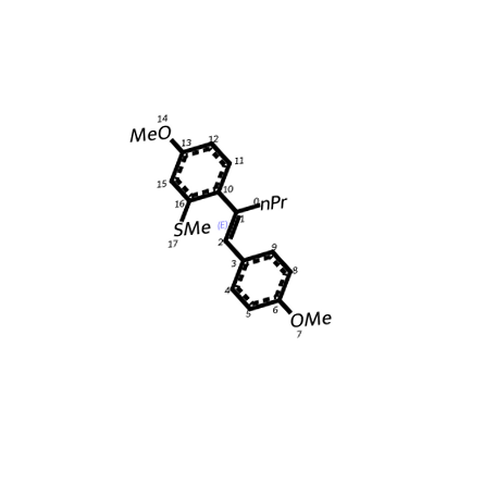 CCC/C(=C\c1ccc(OC)cc1)c1ccc(OC)cc1SC